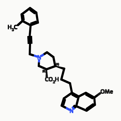 COc1ccc2nccc(CCC[C@@H]3CCN(CC#Cc4ccccc4C)C[C@@H]3C(=O)O)c2c1